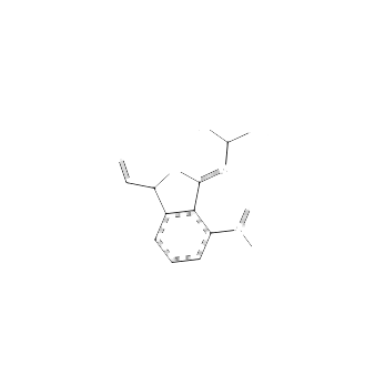 CC(C)N=C1OC(C=O)c2cccc([N+](=O)[O-])c21